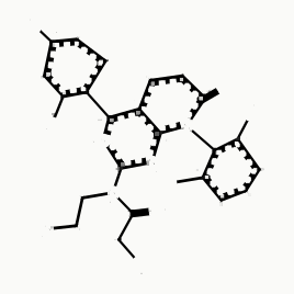 CCC(=O)N(CCN)c1nc(-c2ccc(F)cc2C)c2ccc(=O)n(-c3c(F)cccc3F)c2n1